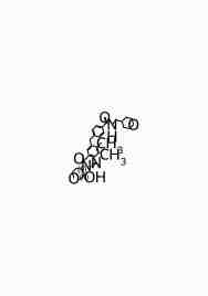 Cc1c(Cc2ccc(C(=O)NCC3CCOCC3)cc2)cc2c(=O)n([C@H]3CCOC[C@@H]3O)cnc2c1C